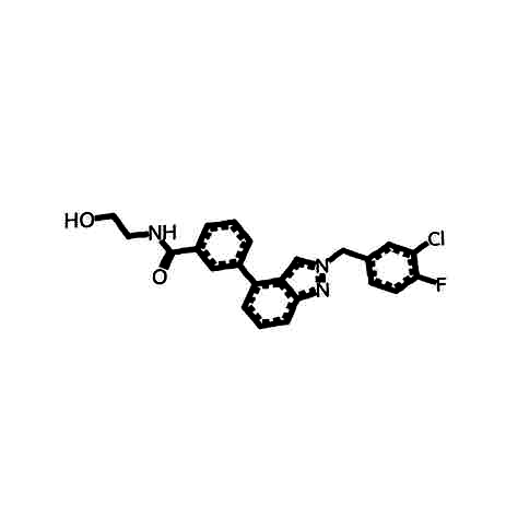 O=C(NCCO)c1cccc(-c2cccc3nn(Cc4ccc(F)c(Cl)c4)cc23)c1